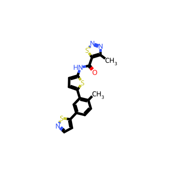 Cc1ccc(-c2ccns2)cc1-c1ccc(NC(=O)c2snnc2C)s1